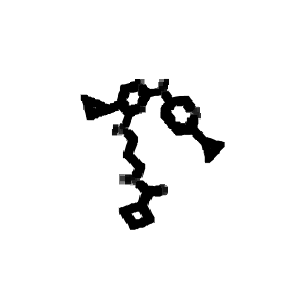 O=C(NCCCNc1nc(Nc2ccc(C3CC3)nc2)ncc1C1CC1)C1CCC1